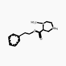 O=C(OCCc1ccccc1)C1CNCCN1C(=O)O